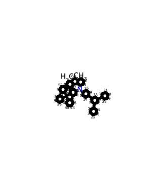 CC1(C)c2ccccc2-c2c(N(c3ccc(-c4cc(-c5ccccc5)cc(-c5ccccc5)c4)cc3)c3ccc4c(c3)-c3ccccc3C4(c3ccccc3)c3ccccc3)cccc21